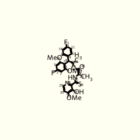 COc1cc(F)ccc1C(c1ccc(F)cc1OC)[C@H](C)OC(=O)[C@H](C)NC(=S)c1nccc(OC)c1O